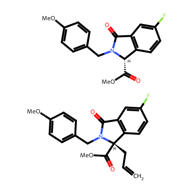 C=CC[C@]1(C(=O)OC)c2ccc(F)cc2C(=O)N1Cc1ccc(OC)cc1.COC(=O)[C@H]1c2ccc(F)cc2C(=O)N1Cc1ccc(OC)cc1